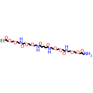 CCC(=O)COCCOCCNC(=O)COCCOCCNC(=O)CCCC(=O)NCCOCCOCC(=O)NCCOCCOCC(=O)CN